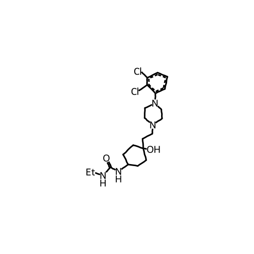 CCNC(=O)NC1CCC(O)(CCN2CCN(c3cccc(Cl)c3Cl)CC2)CC1